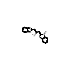 CCN1/C(=C/C(N)=C/c2nc3ccccc3s2)Sc2ccccc21